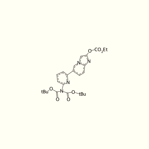 CCOC(=O)Oc1cn2cc(-c3cccc(N(C(=O)OC(C)(C)C)C(=O)OC(C)(C)C)n3)ccc2n1